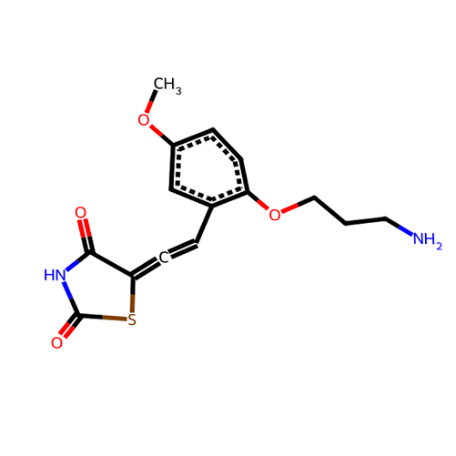 COc1ccc(OCCCN)c(C=C=C2SC(=O)NC2=O)c1